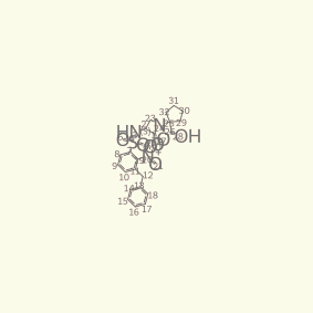 O=C1[C@@H](NS(=O)(=O)c2cccc(Cc3ccccc3)c2[N+](=O)[O-])CN1C1(C(=O)O)CCCC1